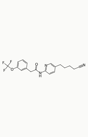 N#CCCCCc1ccc(NC(=O)Cc2cccc(OC(F)(F)F)c2)nc1